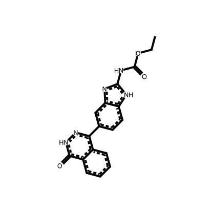 CCOC(=O)Nc1nc2cc(-c3n[nH]c(=O)c4ccccc34)ccc2[nH]1